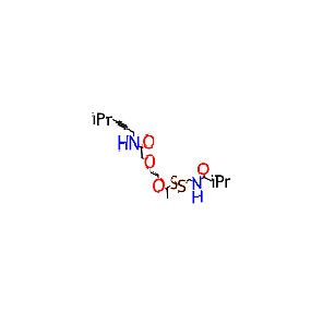 CC(C)C#CCNC(=O)COCCOC(C)SSCNC(=O)C(C)C